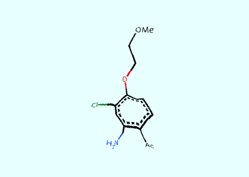 COCCOc1ccc(C(C)=O)c(N)c1Cl